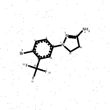 NC1=NN(c2ccc(Br)c(C(F)(F)F)c2)CC1